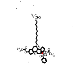 CC(=O)OCCCCCCCCCCC[C@@H]1Cc2cc(OC(C)=O)ccc2[C@H]2CC[C@@]3(C)[C@]4(C=C[C@]3(OC(C)=O)[C@@H](S(=O)(=O)c3ccccc3)C4)[C@H]12